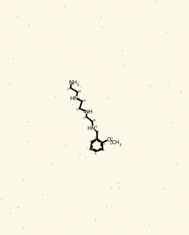 COc1ccccc1CNCCNCCNCCN